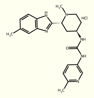 Cc1ccc2[nH]c([C@H]3C[C@H](NC(=O)Nc4ccc(C)nc4)CCN3C)nc2c1.Cl